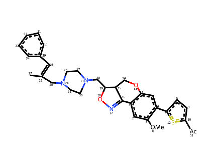 COc1cc2c(cc1-c1ccc(C(C)=O)s1)OCC1C2=NOC1CN1CCN(CC(C)=Cc2ccccc2)CC1